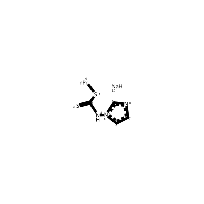 CCCSC(=S)Nn1ccnc1.[NaH]